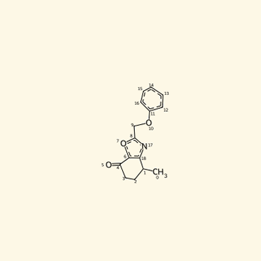 CC1CCC(=O)c2oc(COc3ccccc3)nc21